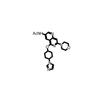 CC(=O)Nc1cnc2cc(N3CCOCC3)nc(OC3CCC(n4ccnc4)CC3)c2c1